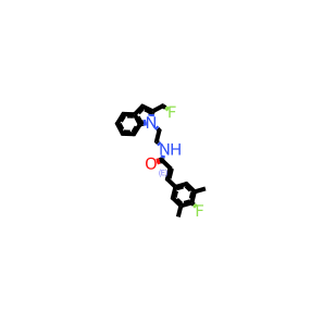 Cc1cc(/C=C/C(=O)NCCn2c(CF)cc3ccccc32)cc(C)c1F